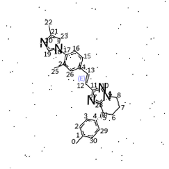 Cc1ccc([C@H]2CCCn3nc(/C=C/c4ccc(-n5cnc(C)c5)c(C)c4)nc32)cc1